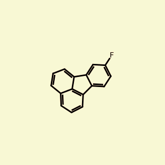 Fc1ccc2c(c1)-c1cccc3cccc-2c13